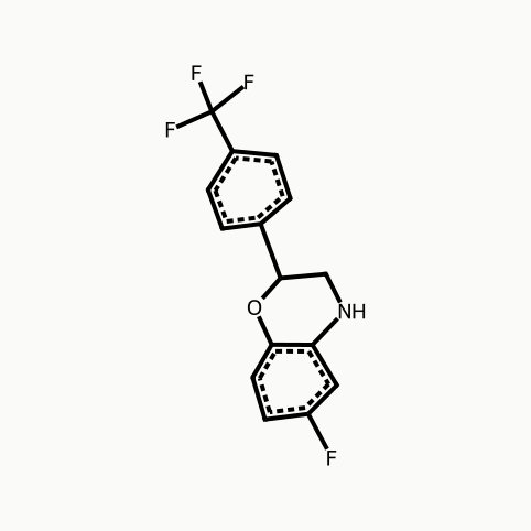 Fc1ccc2c(c1)NCC(c1ccc(C(F)(F)F)cc1)O2